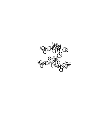 CCc1[nH]c2nc(C3=CCOCC3)nn2c(=O)c1N1CCN(C(=O)OC(C)(C)C)CC1.CCc1c(N2CCN(C(=O)OC(C)(C)C)CC2)c(=O)n2nc(C3=CCOCC3)nc2n1CC(=O)Nc1ccc(C(F)(F)F)nc1Cl